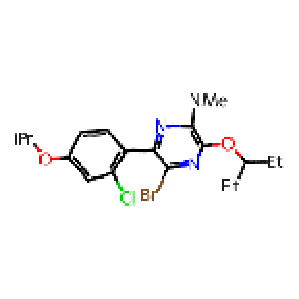 CCC(CC)Oc1nc(Br)c(-c2ccc(OC(C)C)cc2Cl)nc1NC